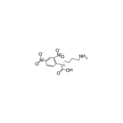 NCCCC[C@H](C(=O)O)c1ccc([N+](=O)[O-])cc1[N+](=O)[O-]